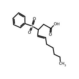 CCCCCC=CC(CC(=O)O)S(=O)(=O)c1ccccc1